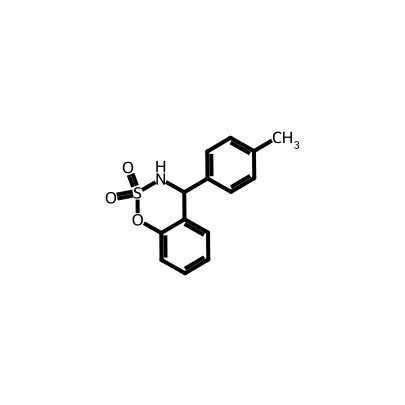 Cc1ccc(C2NS(=O)(=O)Oc3ccccc32)cc1